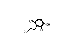 CCCCCCCCCCc1c([N+](=O)[O-])ccc(O)c1O